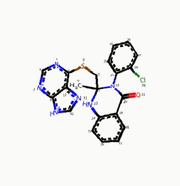 CC1(CSc2ncnc3[nH]cnc23)Nc2ccccc2C(=O)N1c1ccccc1Cl